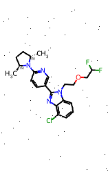 C[C@H]1CC[C@H](C)N1c1ccc(-c2nc3c(Cl)cccc3n2CCOCC(F)F)cn1